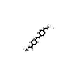 C/C=C/C1CCC(/C=C/C2CCC(/C(F)=C/C(F)(F)F)CC2)CC1